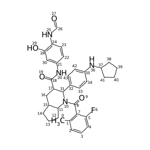 Cc1cccc(F)c1C(=O)N1C2CCCC2CC(C(=O)Nc2ccc(NC=O)c(O)c2)C1c1ccc(NC2CCCC2)cc1